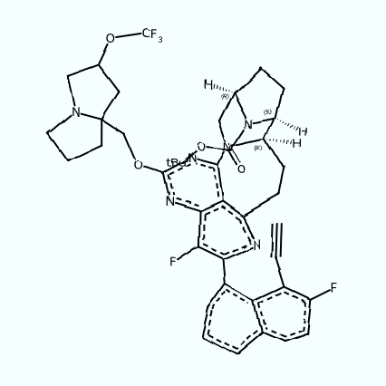 C#Cc1c(F)ccc2cccc(-c3nc4c5c(nc(OCC67CCCN6CC(OC(F)(F)F)C7)nc5c3F)N3C[C@H]5CC[C@@H]([C@H]3CC4)N5C(=O)OC(C)(C)C)c12